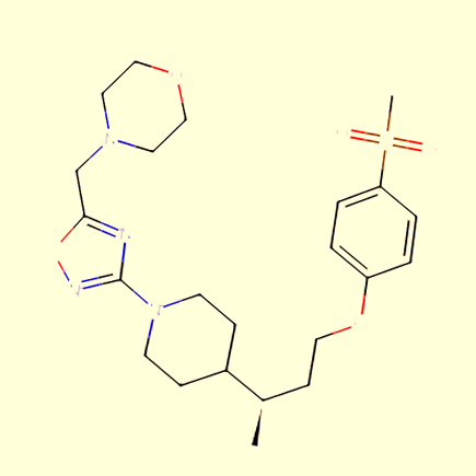 C[C@H](CCOc1ccc(S(C)(=O)=O)cc1)C1CCN(c2noc(CN3CCOCC3)n2)CC1